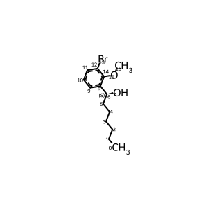 CCCCCC[C@H](O)c1cccc(Br)c1OC